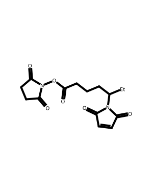 CCC(CCCC(=O)ON1C(=O)CCC1=O)N1C(=O)C=CC1=O